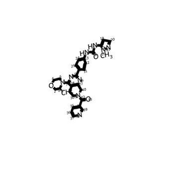 C[C@H]1COCCN1c1nc(-c2ccc(NC(=O)Nc3ccnn3C)cc2)nc2c1CCN(C(=O)c1cccnc1)C2